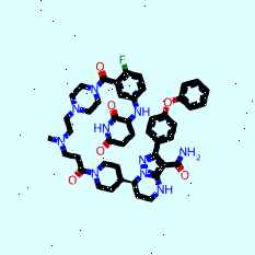 CN(CCC(=O)N1CCC([C@@H]2CCNc3c(C(N)=O)c(-c4ccc(Oc5ccccc5)cc4)nn32)CC1)CCN1CCN(C(=O)c2cc(NC3CCC(=O)NC3=O)ccc2F)CC1